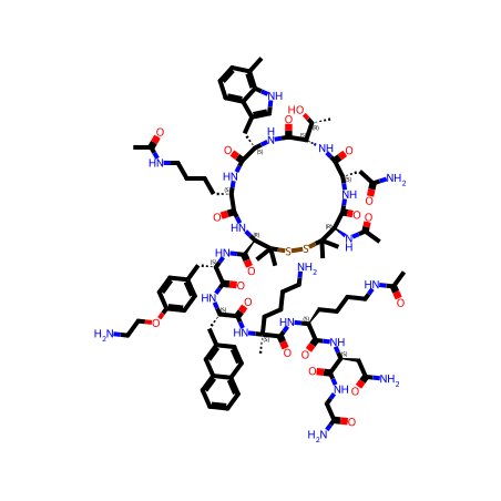 CC(=O)NCCCC[C@@H]1NC(=O)[C@H](Cc2c[nH]c3c(C)cccc23)NC(=O)[C@H]([C@@H](C)O)NC(=O)[C@H](CC(N)=O)NC(=O)[C@@H](NC(C)=O)C(C)(C)SSC(C)(C)[C@@H](C(=O)N[C@@H](Cc2ccc(OCCN)cc2)C(=O)N[C@@H](Cc2ccc3ccccc3c2)C(=O)N[C@@](C)(CCCCN)C(=O)N[C@@H](CCCCNC(C)=O)C(=O)N[C@@H](CC(N)=O)C(=O)NCC(N)=O)NC1=O